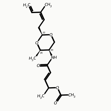 C=CC(C)=CC[C@H]1OC[C@@H](NC(=O)C=CC(C)OC(C)=O)[C@@H](C)O1